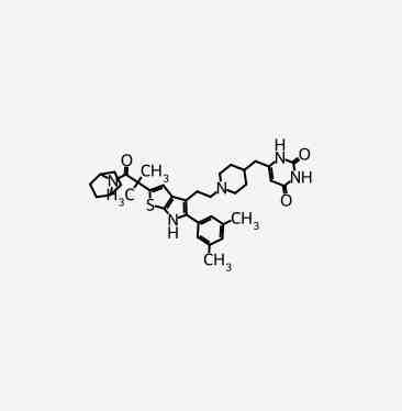 Cc1cc(C)cc(-c2[nH]c3sc(C(C)(C)C(=O)N4C5CCC4CC5)cc3c2CCN2CCC(Cc3cc(=O)[nH]c(=O)[nH]3)CC2)c1